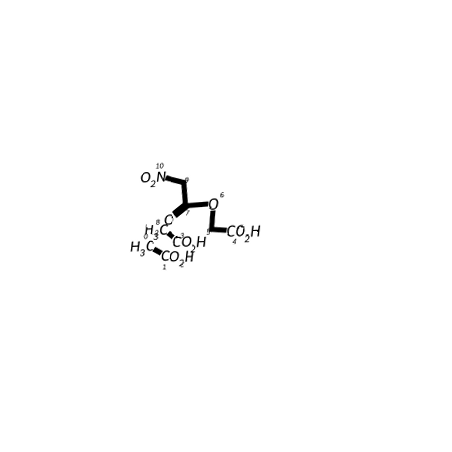 CC(=O)O.CC(=O)O.O=C(O)COC(=O)C[N+](=O)[O-]